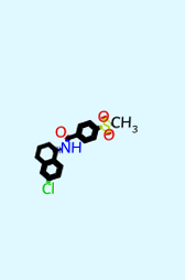 CS(=O)(=O)c1ccc(C(=O)N[C@@H]2CCCc3cc(Cl)ccc32)cc1